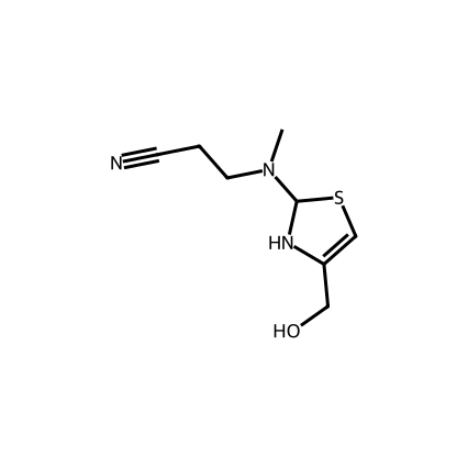 CN(CCC#N)C1NC(CO)=CS1